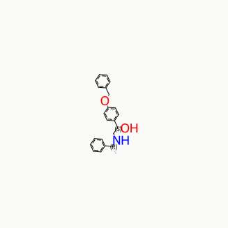 C[C@@H](NC[C@@H](O)c1ccc(OCc2ccccc2)cc1)c1ccccc1